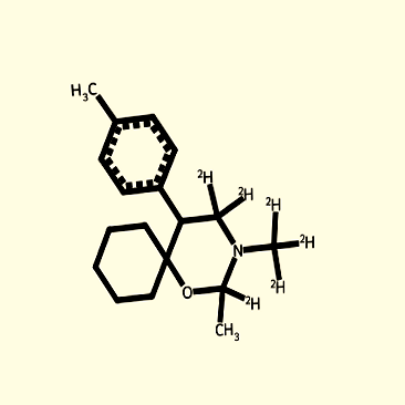 [2H]C([2H])([2H])N1C([2H])(C)OC2(CCCCC2)C(c2ccc(C)cc2)C1([2H])[2H]